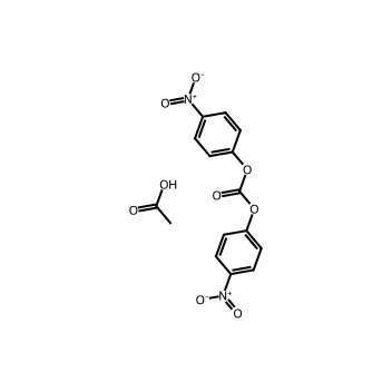 CC(=O)O.O=C(Oc1ccc([N+](=O)[O-])cc1)Oc1ccc([N+](=O)[O-])cc1